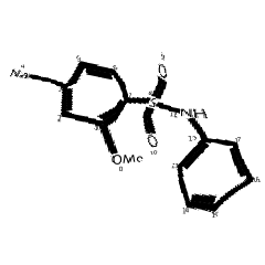 COc1c[c]([Na])ccc1S(=O)(=O)Nc1ccccc1